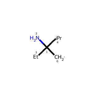 [CH2]C(N)(CC)C(C)C